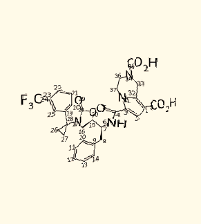 O=C(O)c1cc(C(=O)N[C@@H](Cc2ccccc2)[C@H]2CN(C3(c4cccc(C(F)(F)F)c4)CC3)C(=O)O2)n2c1CN(C(=O)O)CC2